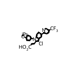 CC(C)Oc1ccc(-n2c(C=CC(=O)O)c(Cl)c3cc(-c4ccc(C(F)(F)F)cn4)ccc32)cc1